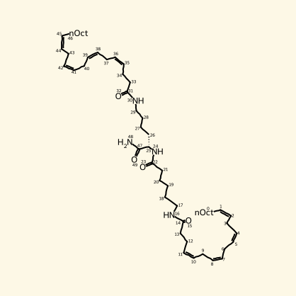 CCCCCCCC/C=C\C/C=C\C/C=C\C/C=C\CCC(=O)NCCCCCC(=O)N[C@@H](CCCCNC(=O)CC/C=C\C/C=C\C/C=C\C/C=C\CCCCCCCC)C(N)=O